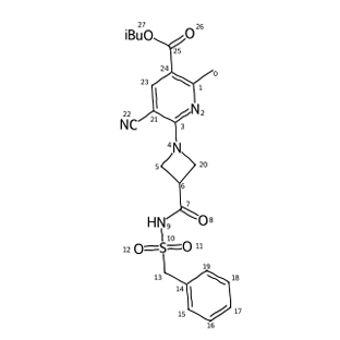 Cc1nc(N2CC(C(=O)NS(=O)(=O)Cc3ccccc3)C2)c(C#N)cc1C(=O)OCC(C)C